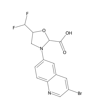 O=C(O)C1OC(C(F)F)CN1c1ccc2ncc(Br)cc2c1